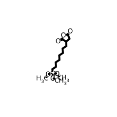 CO[Si](CCCCCCCCC1CC(=O)OC1=O)(OC)OC